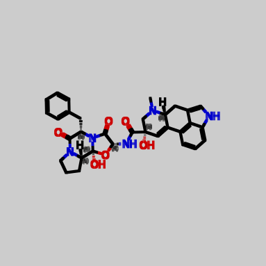 CN1C[C@](O)(C(=O)N[C@@H]2O[C@@]3(O)[C@@H]4CCCN4C(=O)[C@H](Cc4ccccc4)N3C2=O)C=C2c3cccc4[nH]cc(c34)C[C@H]21